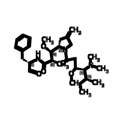 C=C1C[C@@H]([C@H](OC)[C@@H](C)C(=O)N[C@H](C=O)Cc2ccccc2)N(C(=O)CC(OC)[C@H]([C@@H](C)CC)N(C)C)C1